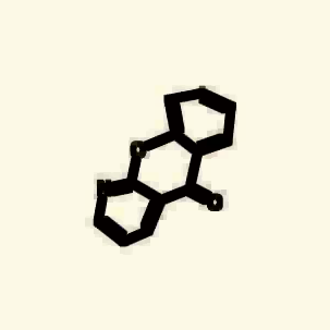 O=c1c2cc[c]cc2oc2ncccc12